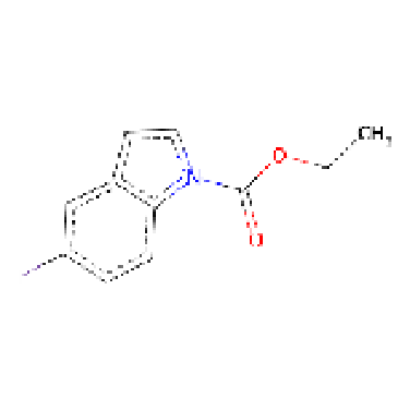 CCOC(=O)n1ccc2cc(I)ccc21